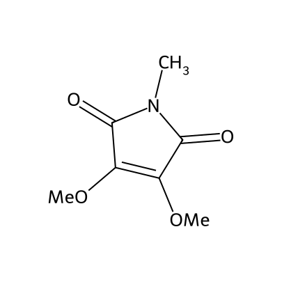 COC1=C(OC)C(=O)N(C)C1=O